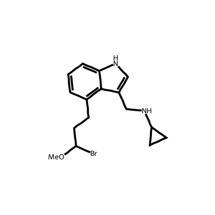 COC(Br)CCc1cccc2[nH]cc(CNC3CC3)c12